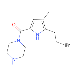 Cc1cc(C(=O)N2CCNCC2)[nH]c1CCC(C)C